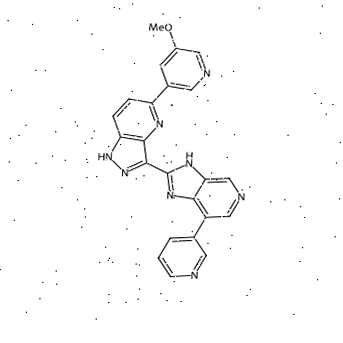 COc1cncc(-c2ccc3[nH]nc(-c4nc5c(-c6cccnc6)cncc5[nH]4)c3n2)c1